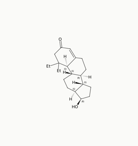 CCC1(CC)CC(=O)C=C2CC[C@H]3[C@@H]4CC[C@@H](O)[C@H]4CC[C@@H]3[C@H]21